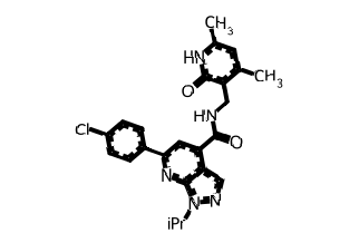 Cc1cc(C)c(CNC(=O)c2cc(-c3ccc(Cl)cc3)nc3c2cnn3C(C)C)c(=O)[nH]1